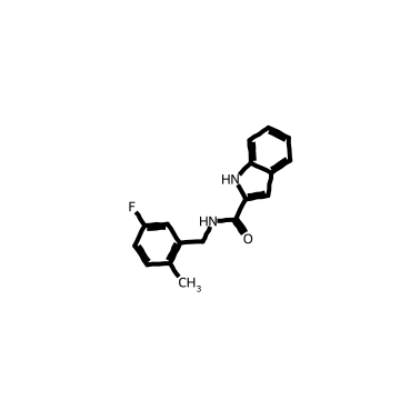 Cc1ccc(F)cc1CNC(=O)c1cc2ccccc2[nH]1